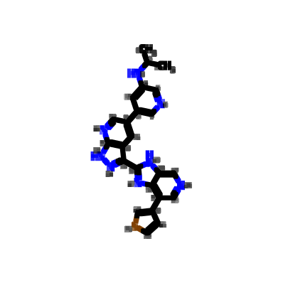 CC(C)Nc1cncc(-c2cnc3[nH]nc(-c4nc5c(-c6ccsc6)cncc5[nH]4)c3c2)c1